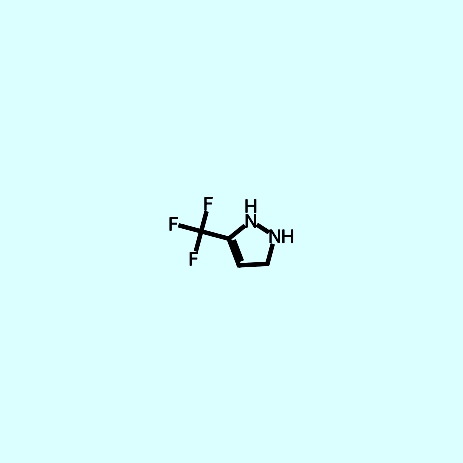 FC(F)(F)C1=CCNN1